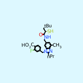 CCCc1nc2c(C)cc(CNC(=O)[C@H](S)CC(C)(C)C)cc2n1Cc1ccc(C(=O)O)c(F)c1